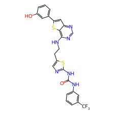 O=C(Nc1cccc(C(F)(F)F)c1)Nc1ncc(CCNc2ncnc3cc(-c4cccc(O)c4)sc23)s1